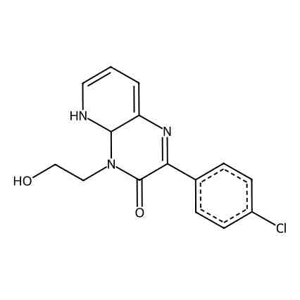 O=C1C(c2ccc(Cl)cc2)=NC2=CC=CNC2N1CCO